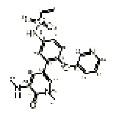 C=CS(=O)(=O)Nc1ccc(Oc2cccnc2)c(-c2cc(NC)c(=O)n(C)c2)c1